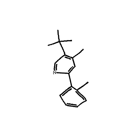 Cc1ccccc1-c1cc(C)c(C(C)(C)C)cn1